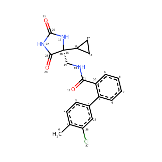 Cc1ccc(-c2ccccc2C(=O)NC[C@@]2(C3CC3)NC(=O)NC2=O)cc1Cl